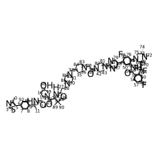 Cc1ncsc1-c1ccc([C@H](C)NC(=O)[C@@H]2C[C@@H](O)CN2C(=O)[C@@H](NC(=O)CCN2CCN(CC3CCN(CC(=O)N4CCN(c5ncc(-c6cc(NC(=O)c7ccc(F)cc7C(F)(F)F)c(N7C[C@@H](C)N(C)[C@@H](C)C7)cc6F)cn5)CC4)CC3)CC2)C(C)(C)C)cc1